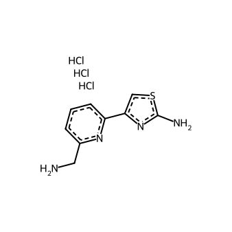 Cl.Cl.Cl.NCc1cccc(-c2csc(N)n2)n1